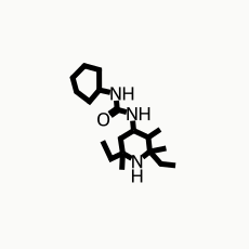 CCC1(C)CC(NC(=O)NC2CCCCC2)C(C)C(C)(CC)N1